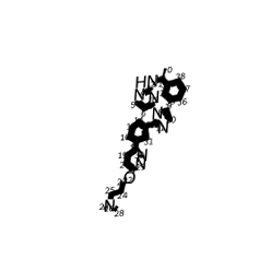 C[C@H](Nc1nccc(-n2ccnc2-c2cccc(-c3ccc(OCCCN(C)C)nn3)c2)n1)c1ccccc1